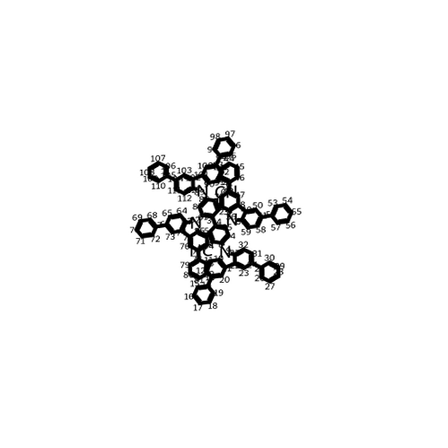 N#Cc1cc(-c2cc(C#N)c(-n3c4ccc(-c5ccccc5)cc4c4cc(-c5ccccc5)ccc43)cc2-n2c3ccc(-c4ccccc4)cc3c3cc(-c4ccccc4)ccc32)c(-n2c3ccc(-c4ccccc4)cc3c3cc(-c4ccccc4)ccc32)cc1-n1c2ccc(-c3ccccc3)cc2c2cc(-c3ccccc3)ccc21